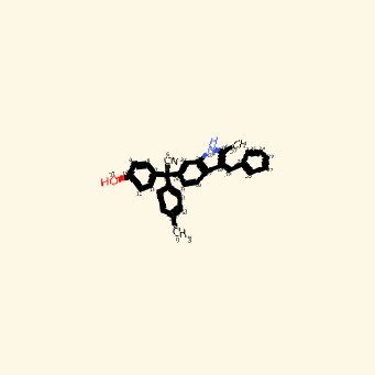 Cc1ccc(C(C#N)(c2ccc(O)cc2)c2ccc3c(Cc4ccccc4)c(C)[nH]c3c2)cc1